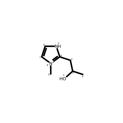 CC(O)Cc1[nH]cc[n+]1C